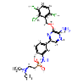 CN(C)CCS(=O)(=O)Nc1cccc(-c2cnc(N)c(OCc3c(F)ccc(F)c3Cl)n2)c1